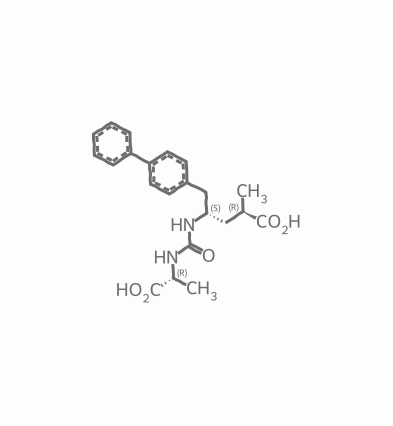 C[C@H](C[C@@H](Cc1ccc(-c2ccccc2)cc1)NC(=O)N[C@H](C)C(=O)O)C(=O)O